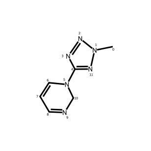 Cn1nnc(N2C=CC=NC2)n1